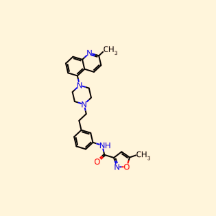 Cc1ccc2c(N3CCN(CCc4cccc(NC(=O)c5cc(C)on5)c4)CC3)cccc2n1